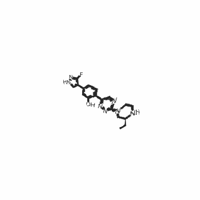 CC[C@H]1CN(c2ncc(-c3ccc(-c4c[nH]nc4F)cc3O)nn2)CCN1